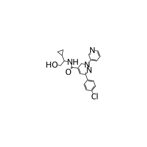 O=C(NC(CO)C1CC1)C1=CC(c2ccc(Cl)cc2)=NN(c2cccnc2)C1